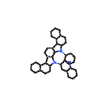 c1ccc(-n2c3ccc4ccccc4c3c3ccc4c5c6ccccc6ccc5n(-c5cnc6ccccc6c5)c4c32)cc1